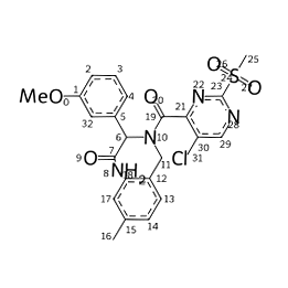 COc1cccc(C(C(N)=O)N(Cc2ccc(C)cc2)C(=O)c2nc(S(C)(=O)=O)ncc2Cl)c1